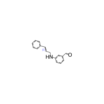 O=Cc1cccc(NC/C=C/c2ccccc2)c1